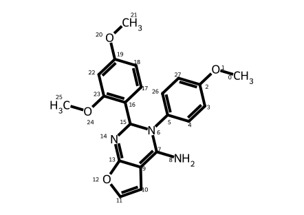 COc1ccc(N2C(N)=c3ccoc3=NC2c2ccc(OC)cc2OC)cc1